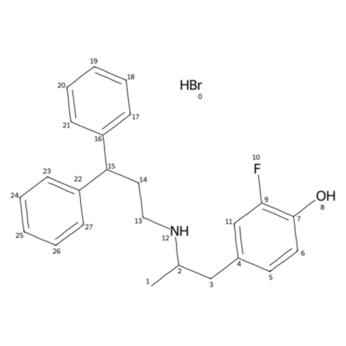 Br.CC(Cc1ccc(O)c(F)c1)NCCC(c1ccccc1)c1ccccc1